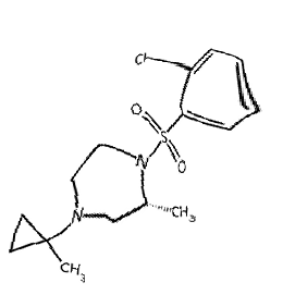 C[C@@H]1CN(C2(C)CC2)CCN1S(=O)(=O)c1ccccc1Cl